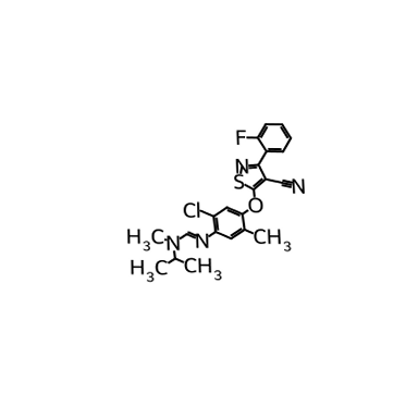 Cc1cc(N=CN(C)C(C)C)c(Cl)cc1Oc1snc(-c2ccccc2F)c1C#N